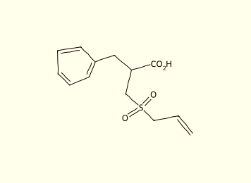 C=CCS(=O)(=O)CC(Cc1ccccc1)C(=O)O